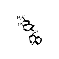 Cc1cc2cc(Nc3ccnc4ccccc34)ccc2[nH]1